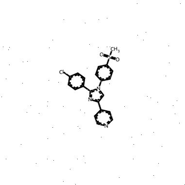 CS(=O)(=O)c1ccc(-n2cc(-c3ccncc3)nc2-c2ccc(Cl)cc2)cc1